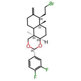 C=C1CCC2[C@]3(C)CO[C@@H](c4ccc(F)c(F)c4)O[C@@H]3CC[C@@]2(C)[C@@H]1CCBr